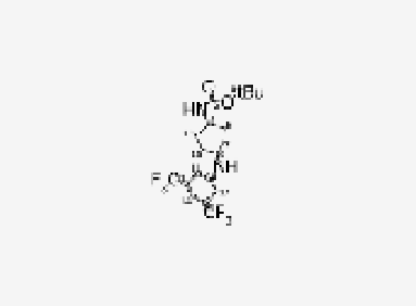 CC(C)(C)OC(=O)NC1CCC(Nc2cc(C(F)(F)F)cc(C(F)(F)F)c2)CC1